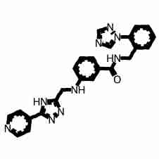 O=C(NCc1ccccc1-n1cncn1)c1cccc(NCc2nnc(-c3ccncc3)[nH]2)c1